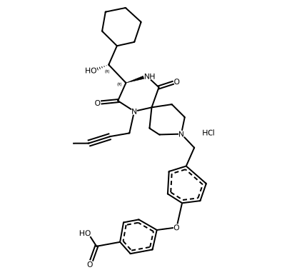 CC#CCN1C(=O)[C@@H]([C@H](O)C2CCCCC2)NC(=O)C12CCN(Cc1ccc(Oc3ccc(C(=O)O)cc3)cc1)CC2.Cl